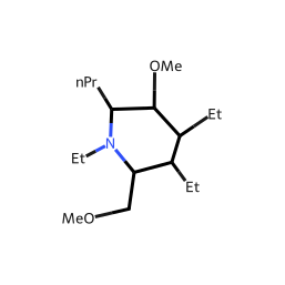 CCCC1C(OC)C(CC)C(CC)C(COC)N1CC